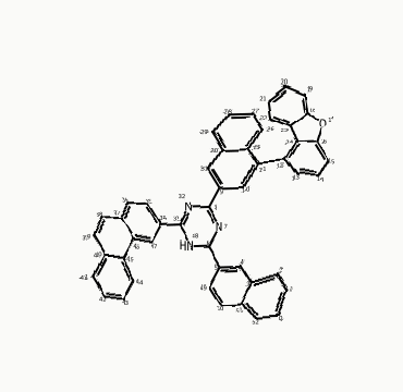 c1ccc2cc(C3N=C(c4cc(-c5cccc6oc7ccccc7c56)c5ccccc5c4)N=C(c4ccc5ccc6ccccc6c5c4)N3)ccc2c1